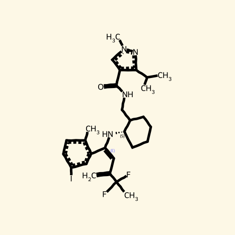 C=C(/C=C(/N[C@H]1CCCCC1CNC(=O)c1cn(C)nc1C(C)C)c1cc(I)ccc1C)C(C)(F)F